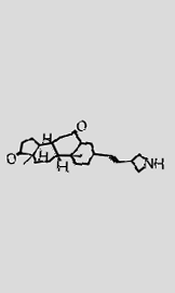 C[C@]12CCC(C=CC3CNC3)CC1C(=O)C[C@@H]1[C@H]2CC[C@]2(C)C(=O)CC[C@@H]12